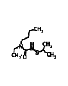 [CH2]CN(CCCC)C(=O)NSC(C)C